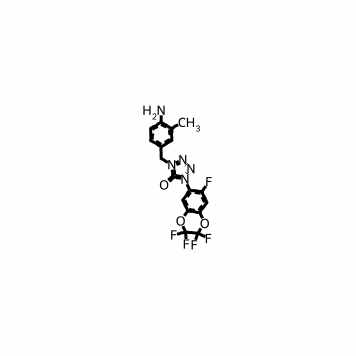 Cc1cc(Cn2nnn(-c3cc4c(cc3F)OC(F)(F)C(F)(F)O4)c2=O)ccc1N